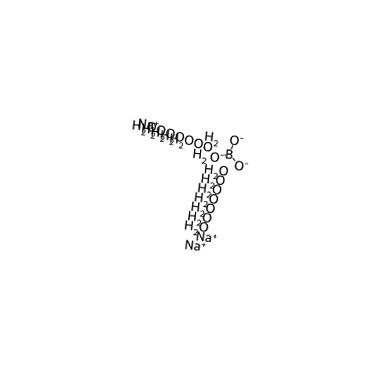 O.O.O.O.O.O.O.O.O.O.O.O.O.O.[Na+].[Na+].[Na+].[O-]B([O-])[O-]